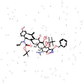 C=CCN(C(=O)OC(C)(C)C)c1c2c(c(C)c3cc(OC)ccc13)C(=O)C1=C(O)[C@]3(O[Si](C)(C)C(C)(C)C)C(=O)c4c(OCc5ccccc5)noc4[C@@H](N(C)C)[C@@H]3C[C@@H]1C2